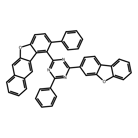 c1ccc(-c2nc(-c3ccc4c(c3)oc3ccccc34)nc(-c3c(-c4ccccc4)ccc4oc5cc6ccccc6cc5c34)n2)cc1